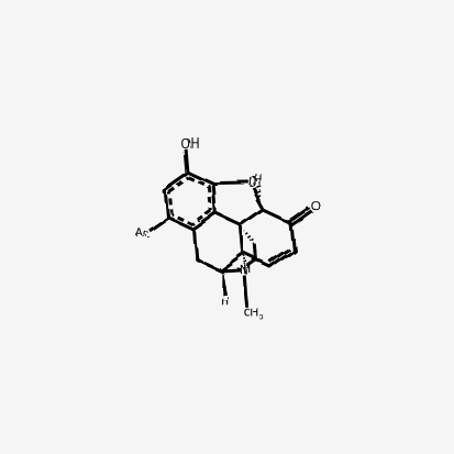 CC(=O)c1cc(O)c2c3c1C[C@@H]1[C@@H]4C=CC(=O)[C@H](O2)[C@]34CCN1C